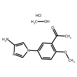 CO.COc1ccc(-n2cnc(N)c2)cc1C(C)=O.Cl